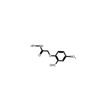 CCCNC(=O)COc1ccc([N+](=O)[O-])cc1C=O